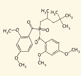 COc1ccc(C(=O)P(=O)(CC(C)CC(C)(C)C)C(=O)c2ccc(OC)cc2OC)c(OC)c1